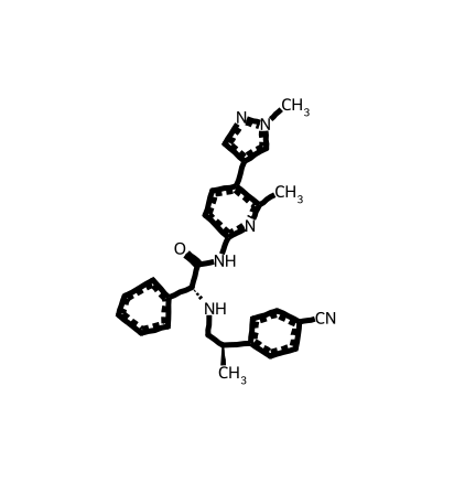 Cc1nc(NC(=O)[C@H](NC[C@H](C)c2ccc(C#N)cc2)c2ccccc2)ccc1-c1cnn(C)c1